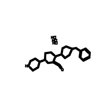 Cl.Cl.Cl.O=C=C1CN(C2CCNCC2)CCN1C1CCN(Cc2ccccc2)CC1